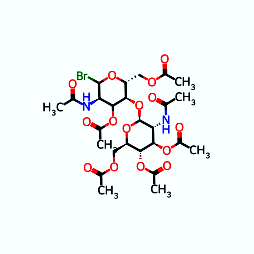 CC(=O)N[C@H]1C(Br)O[C@H](COC(C)=O)[C@@H](O[C@@H]2O[C@H](COC(C)=O)[C@@H](OC(C)=O)[C@H](OC(C)=O)[C@H]2NC(C)=O)C1OC(C)=O